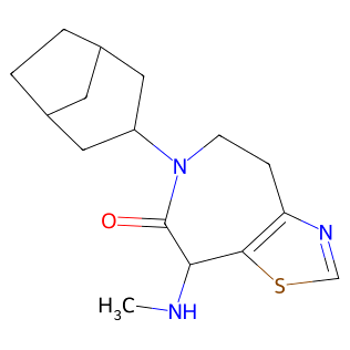 CNC1C(=O)N(C2CC3CCC(C3)C2)CCc2ncsc21